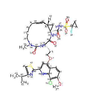 COc1ccc2c(OCC[C@@H]3NC(=O)N(C)CCCC/C=C\[C@@H]4C[C@@]4(C(=O)NS(=O)(=O)C4(F)CC4)NC3=O)cc(-c3nc(C(C)C)cs3)nc2c1Cl